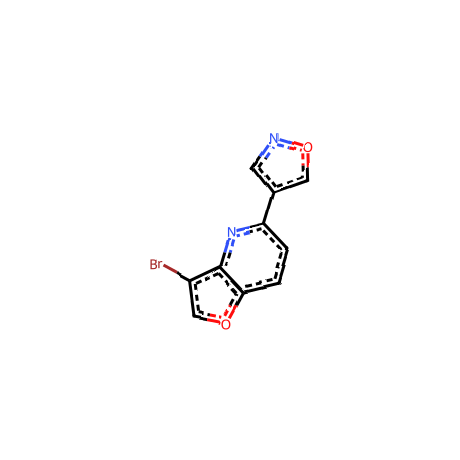 Brc1coc2ccc(-c3cnoc3)nc12